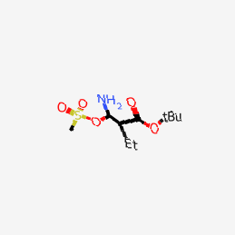 CCC(C(=O)OC(C)(C)C)C(N)OS(C)(=O)=O